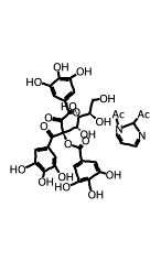 CC(=O)C1N=CC=CN1C(C)=O.O=C(O[C@](C(=O)C(=O)c1cc(O)c(O)c(O)c1)(C(=O)c1cc(O)c(O)c(O)c1)[C@@H](O)[C@H](O)[C@H](O)CO)c1cc(O)c(O)c(O)c1